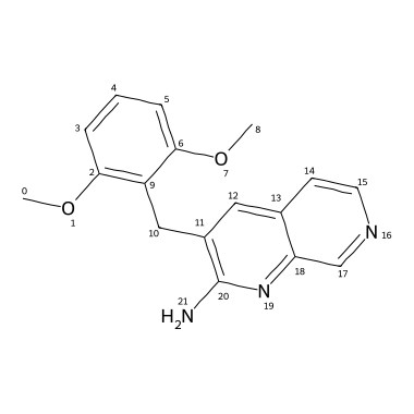 COc1cccc(OC)c1Cc1cc2ccncc2nc1N